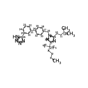 CCCCC(F)(F)c1nc(CCC(C)C)n(Cc2ccc(-c3cccc(-c4nnn[nH]4)c3)cc2)n1